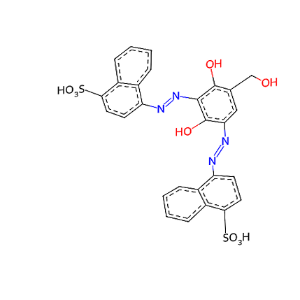 O=S(=O)(O)c1ccc(N=Nc2cc(CO)c(O)c(N=Nc3ccc(S(=O)(=O)O)c4ccccc34)c2O)c2ccccc12